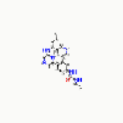 CCCC(Nc1cncc(-c2ccc(NC(=O)NCC)cc2)n1)c1cccnc1